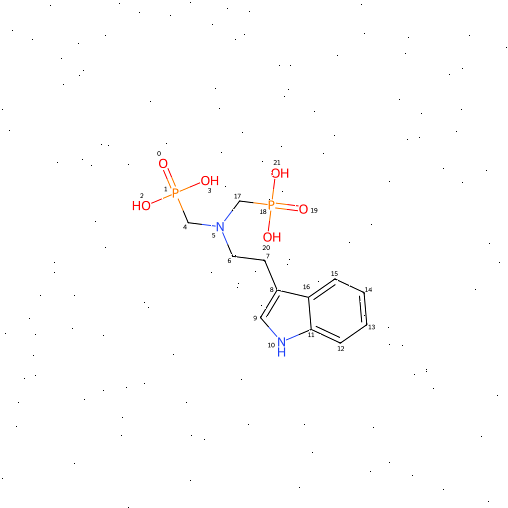 O=P(O)(O)CN(CCc1c[nH]c2ccccc12)CP(=O)(O)O